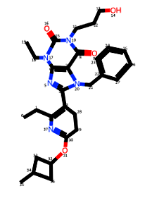 CCC1=C(c2nc3c(c(=O)n(CCCO)c(=O)n3CC)n2CC2=C=C=CC=C2)CCC(OC2CC(C)C2)=N1